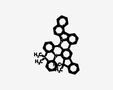 CC1(C)c2ccccc2-c2cc3c4c(c21)N1c2ccccc2S(C)(C)c2cccc(c21)B4n1c2ccc4ccccc4c2c2cccc-3c21